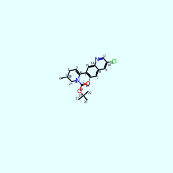 C[C@H]1CC=C(c2ccc3cc(Cl)cnc3c2)N(C(=O)OC(C)(C)C)C1